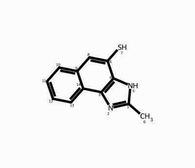 Cc1nc2c([nH]1)c(S)cc1ccccc12